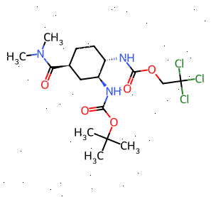 CN(C)C(=O)[C@H]1CC[C@H](NC(=O)OCC(Cl)(Cl)Cl)[C@@H](NC(=O)OC(C)(C)C)C1